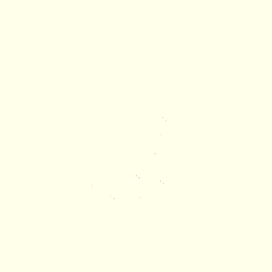 CCCS(=O)(=O)N(Cc1ccc(Cl)c(Cl)c1)C12CC(C3=NC(C)(C)[C@H](C(=O)NCC4(C(F)(F)F)CC4)N3)(C1)C2